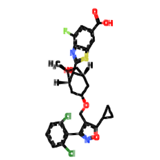 C[C@H]1C[C@@H]2C[C@@H](OCc3c(-c4c(Cl)cccc4Cl)noc3C3CC3)C[C@H]1[C@]2(O)c1nc2c(F)cc(C(=O)O)cc2s1